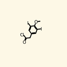 COc1c(I)cc(CC(=O)Cl)cc1I